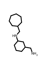 NCC1CCCC(NCC2CCCCCC2)C1